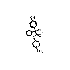 CN1CCC(OC(=O)C(C)(c2ccc(O)cc2)C2CCCC2)CC1